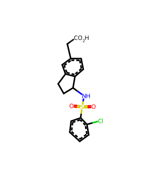 O=C(O)Cc1ccc2c(c1)CCC2NS(=O)(=O)c1ccccc1Cl